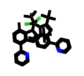 Cc1ccc(-c2ccccn2)c2c1[CH]([Zr]([Cl])([Cl])([CH]1C([Si](C)(C)C)=Cc3c(-c4ccccn4)ccc(C)c31)[SiH](C)C)C([Si](C)(C)C)=C2